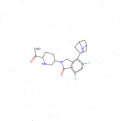 O=CC(=O)C1CCC(N2Cc3c(c(F)cc(F)c3C3CC4CC(C3)N4)C2=O)CN1